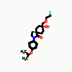 CC(C)Oc1ccc(N2CC[C@]3(CC[C@](O)(COCCF)CC3)C2=O)cc1